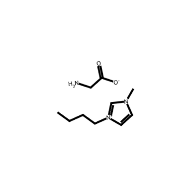 CCCC[n+]1ccn(C)c1.NCC(=O)[O-]